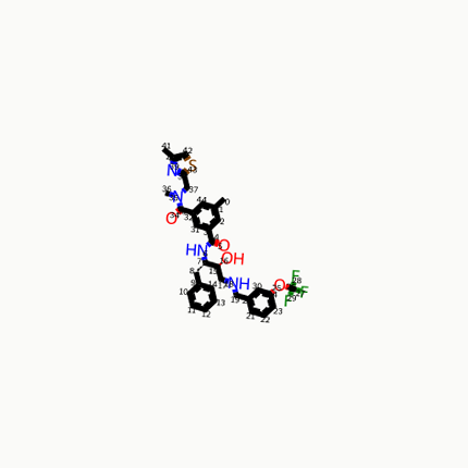 Cc1cc(C(=O)N[C@@H](Cc2ccccc2)[C@H](O)CNCc2cccc(OC(F)(F)F)c2)cc(C(=O)N(C)Cc2nc(C)cs2)c1